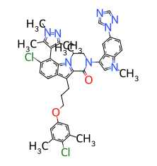 Cc1cc(OCCCc2c3n(c4c(-c5c(C)nn(C)c5C)c(Cl)ccc24)[C@H](C)CN(c2cn(C)c4ccc(-n5cncn5)cc24)C3=O)cc(C)c1Cl